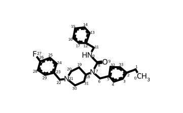 CCc1ccc(CN(C(=O)NCc2ccccc2)C2CCN(Cc3ccc(F)cc3)CC2)cc1